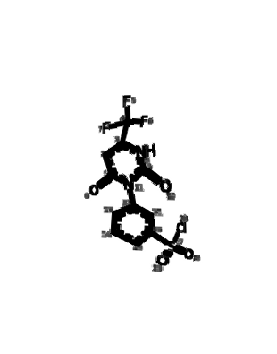 O=c1cc(C(F)(F)F)[nH]c(=O)n1-c1cccc(S(=O)(=O)Cl)c1